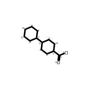 O=C(Cl)C1CCC(C2CCCCC2)CC1